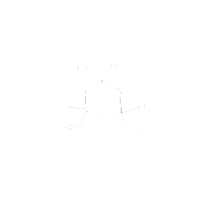 C=C[N+]1([O-])CC(C)(C)NC(C)(C)C1